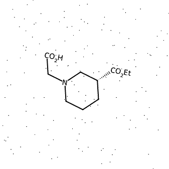 CCOC(=O)[C@@H]1CCCN(CC(=O)O)C1